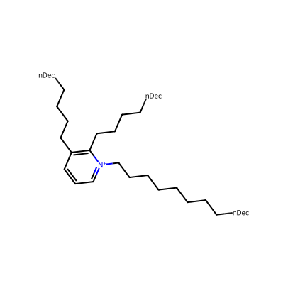 CCCCCCCCCCCCCCCCCC[n+]1cccc(CCCCCCCCCCCCCC)c1CCCCCCCCCCCCCC